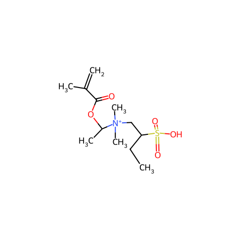 C=C(C)C(=O)OC(C)[N+](C)(C)CC(CC)S(=O)(=O)O